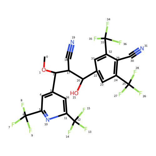 COC(c1cc(C(F)(F)F)nc(C(F)(F)F)c1)C(C#N)C(O)c1cc(C(F)(F)F)c(C#N)c(C(F)(F)F)c1